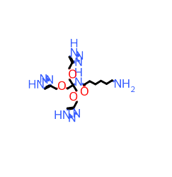 NCCCCCC(=O)NC(COCc1c[nH]nn1)(COCc1c[nH]nn1)COCc1c[nH]nn1